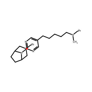 CC(C)N(C)CCCCCc1cnc(N2C3CCC2CN(C(C)C)C3)nc1